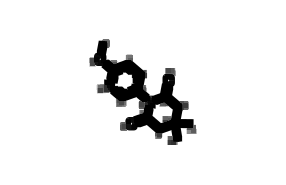 COc1ccc(N2C(=O)CC(C)(C)CC2=O)cn1